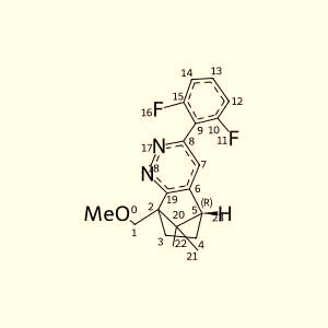 COCC12CC[C@@H](c3cc(-c4c(F)cccc4F)nnc31)C2(C)C